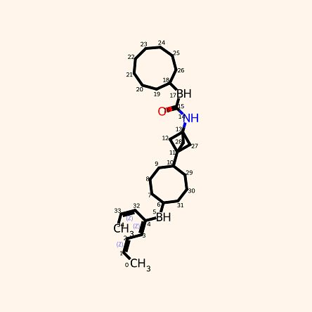 C\C=C/C=C(BC1CCCC(C23CC(NC(=O)BC4CCCCCCCC4)(C2)C3)CCC1)\C=C/C